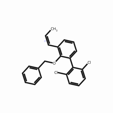 C/C=C\c1cccc(-c2c(Cl)cccc2Cl)c1OCc1ccccc1